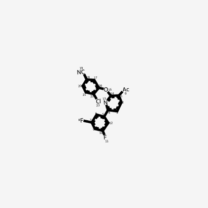 CC(=O)c1ccc(-c2cc(F)cc(F)c2)nc1Oc1cc(C#N)ccc1Cl